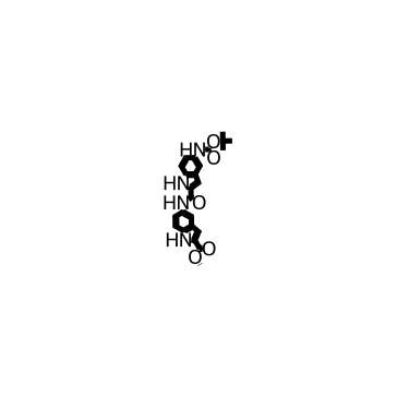 COC(=O)c1cc2cc(NC(=O)c3cc4cc(NC(=O)OC(C)(C)C)ccc4[nH]3)ccc2[nH]1